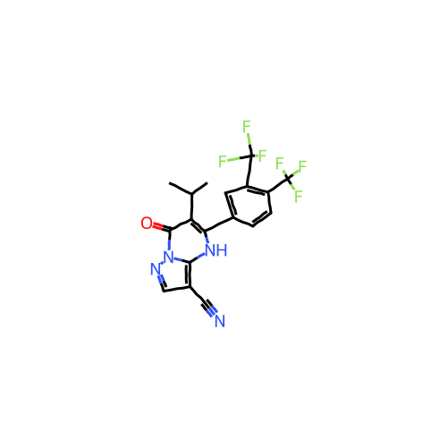 CC(C)c1c(-c2ccc(C(F)(F)F)c(C(F)(F)F)c2)[nH]c2c(C#N)cnn2c1=O